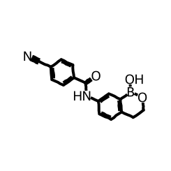 N#Cc1ccc(C(=O)Nc2ccc3c(c2)B(O)OCC3)cc1